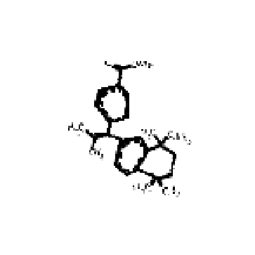 COC(=O)c1ccc(C(=C(C)C)c2ccc3c(c2)C(C)(C)CCC3(C)C)cc1